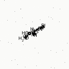 NS(=O)(=O)OC[C@H]1C[C@@H](Nc2ncncc2C(=O)c2cc(Cn3cc(C(F)(F)F)cn3)cs2)C[C@@H]1O